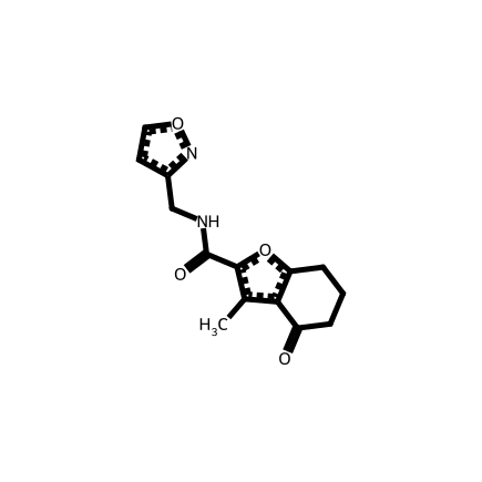 Cc1c(C(=O)NCc2ccon2)oc2c1C(=O)CCC2